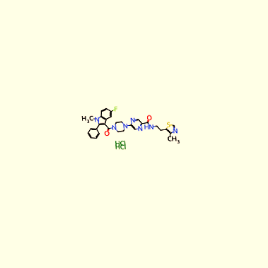 Cc1ncsc1CCNC(=O)c1cnc(N2CCN(C(=O)c3c(-c4ccccc4)n(C)c4ccc(F)cc34)CC2)cn1.Cl.Cl